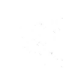 Cc1cc(NC(=O)c2cc(C)nn2C)cc(Oc2ccc3nc(NC(=O)C4CC4)nn3c2)c1